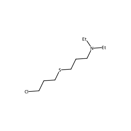 CCN(CC)CCCSCCCCl